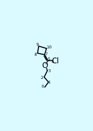 CCCCOC(Cl)=C1CCC1